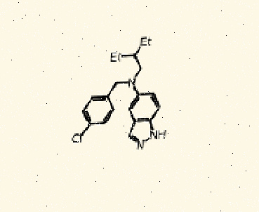 CCC(CC)CN(Cc1ccc(Cl)cc1)c1ccc2[nH]ncc2c1